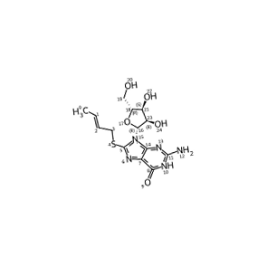 CC=CCSc1nc2c(=O)[nH]c(N)nc2n1[C@@H]1O[C@H](CO)[C@@H](O)[C@H]1O